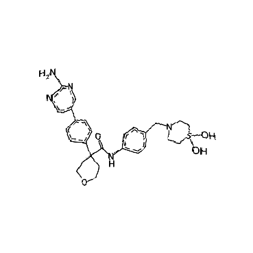 Nc1ncc(-c2ccc(C3(C(=O)Nc4ccc(CN5CCS(O)(O)CC5)cc4)CCOCC3)cc2)cn1